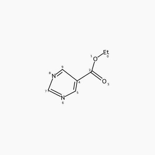 CCOC(=O)c1cn[c]nc1